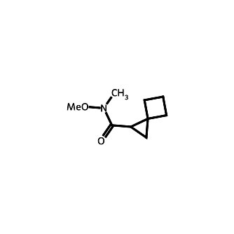 CON(C)C(=O)C1CC12CCC2